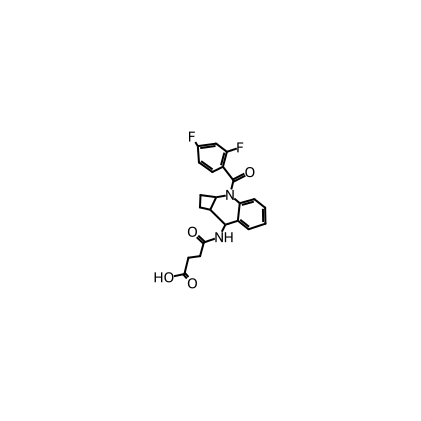 O=C(O)CCC(=O)NC1c2ccccc2N(C(=O)c2ccc(F)cc2F)C2CCC12